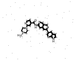 CN1CCN(c2cc(C(=O)Nc3cc4cc(-c5cnc6[nH]ccc6c5)ncc4cn3)ccn2)CC1